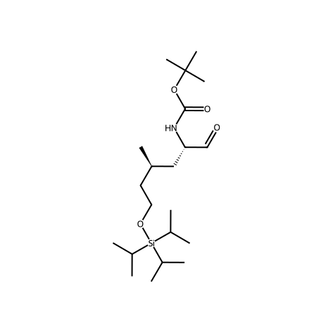 CC(C)[Si](OCC[C@@H](C)C[C@@H](C=O)NC(=O)OC(C)(C)C)(C(C)C)C(C)C